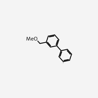 COCc1cccc(-c2c[c]ccc2)c1